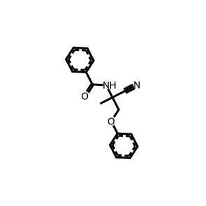 CC(C#N)(COc1ccccc1)NC(=O)c1ccccc1